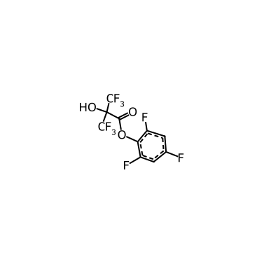 O=C(Oc1c(F)cc(F)cc1F)C(O)(C(F)(F)F)C(F)(F)F